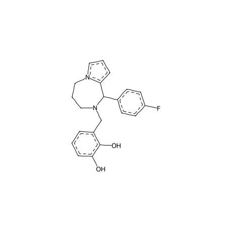 Oc1cccc(CN2CCCn3cccc3C2c2ccc(F)cc2)c1O